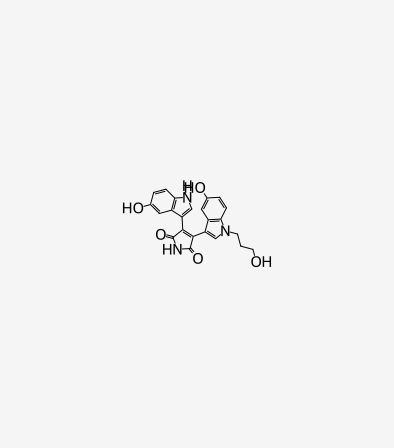 O=C1NC(=O)C(c2cn(CCCO)c3ccc(O)cc23)=C1c1c[nH]c2ccc(O)cc12